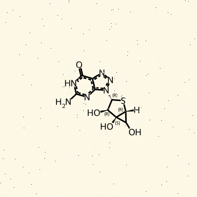 Nc1nc2c(nnn2[C@@H]2S[C@@H]3C(O)[C@]3(O)[C@H]2O)c(=O)[nH]1